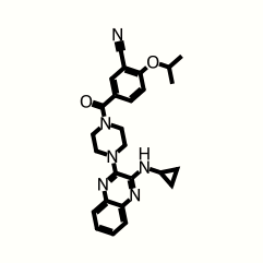 CC(C)Oc1ccc(C(=O)N2CCN(c3nc4ccccc4nc3NC3CC3)CC2)cc1C#N